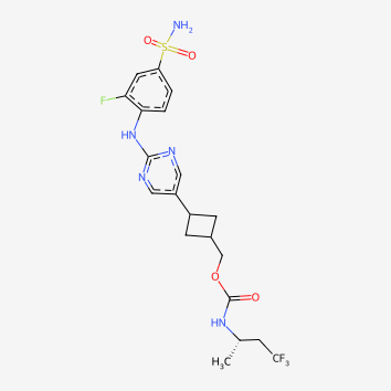 C[C@@H](CC(F)(F)F)NC(=O)OCC1CC(c2cnc(Nc3ccc(S(N)(=O)=O)cc3F)nc2)C1